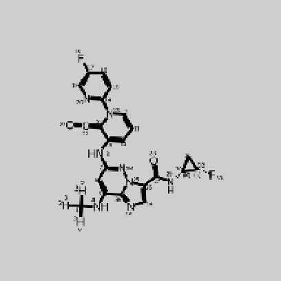 [2H]C([2H])([2H])Nc1cc(NC2=CC=CN(c3ccc(F)cn3)C2=C=O)nn2c(C(=O)N[C@@H]3C[C@@H]3F)cnc12